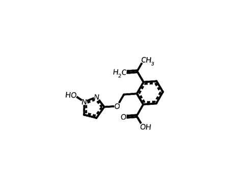 C=C(C)c1cccc(C(=O)O)c1COc1ccn(O)n1